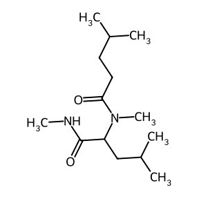 CNC(=O)C(CC(C)C)N(C)C(=O)CCC(C)C